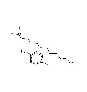 CCCCCCCCCCCC[S+](C)C.Cc1ccc(S)cc1